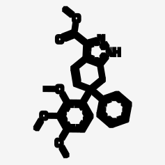 COC(=O)c1n[nH]c2c1C=CC(c1ccccc1)(c1ccc(OC)c(OC)c1OC)C2